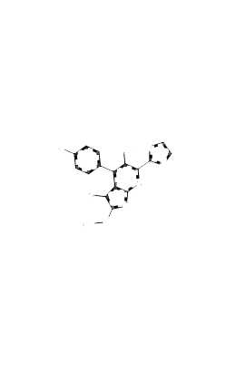 CCCCSc1sc2nc(-c3nccs3)c(C=O)c(-c3ccc(Br)cc3)c2c1N